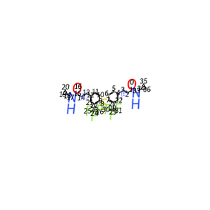 O=C(/C=C/c1ccc(Sc2ccc(/C=C/C(=O)NC3CC3)cc2C(F)(F)F)c(C(F)(F)F)c1)NC1CC1